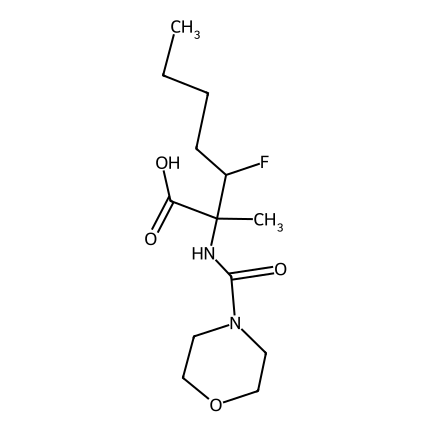 CCCCC(F)C(C)(NC(=O)N1CCOCC1)C(=O)O